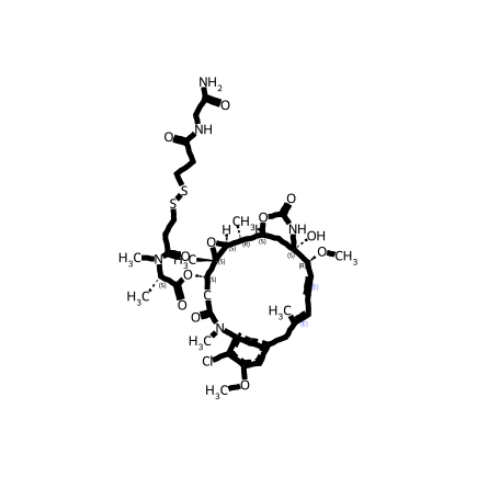 COc1cc2cc(c1Cl)N(C)C(=O)C[C@H](OC(=O)[C@H](C)N(C)C(=O)CCSSCCC(=O)NCC(N)=O)[C@]1(C)O[C@H]1[C@H](C)[C@@H]1C[C@@](O)(NC(=O)O1)[C@H](OC)/C=C/C=C(\C)C2